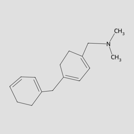 CN(C)CC1=CC=C(CC2=CC=CCC2)CC1